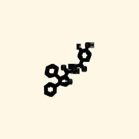 O=C(NNC(=O)c1occ(-c2ccccc2)c1-c1ccccc1)c1ccc(O)c(F)c1